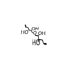 C=CCC(O)C(O)COCC(O)C(O)CC=C